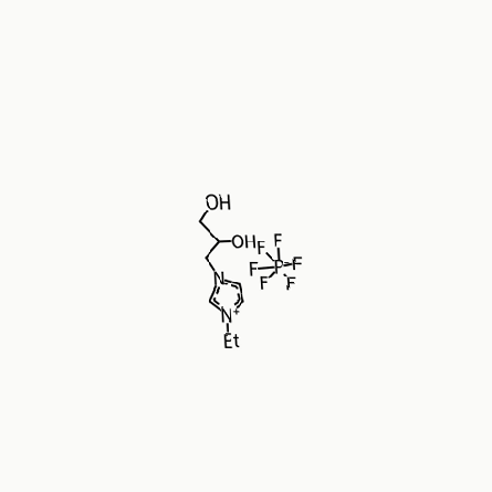 CC[n+]1ccn(CC(O)CO)c1.F[P-](F)(F)(F)(F)F